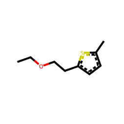 CCOCCc1ccc(C)s1